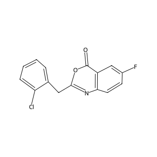 O=c1oc(Cc2ccccc2Cl)nc2ccc(F)cc12